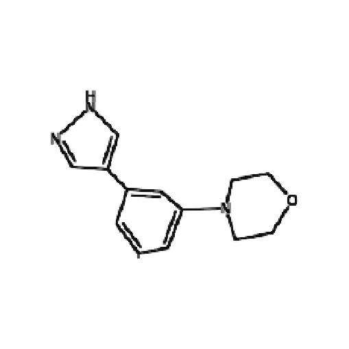 [c]1cc(-c2cn[nH]c2)cc(N2CCOCC2)c1